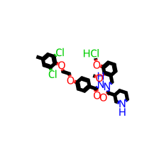 COc1cccc(CN(NC(=O)c2ccc(OCCOc3c(Cl)cc(C)cc3Cl)cc2)C(=O)C2CCCNC2)c1OC.Cl